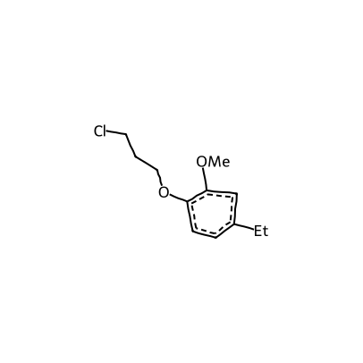 CCc1ccc(OCCCCl)c(OC)c1